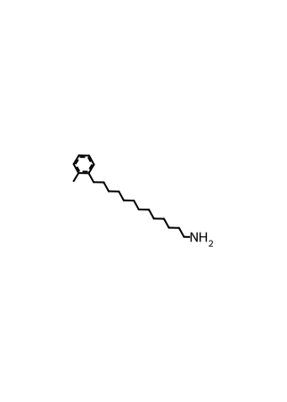 Cc1ccccc1CCCCCCCCCCCCCN